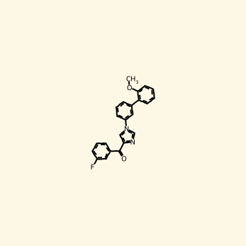 COc1ccccc1-c1cccc(-n2cnc(C(=O)c3cccc(F)c3)c2)c1